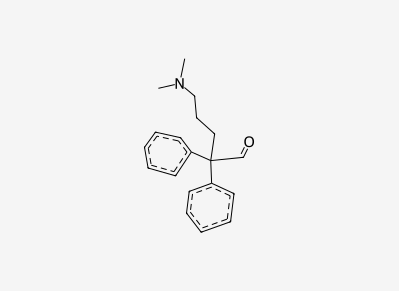 CN(C)CCCC(C=O)(c1ccccc1)c1ccccc1